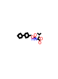 CC(C)[C@@H]1OC(=O)[C@@H]1NC(=O)OCc1ccc(-c2ccccc2)cc1